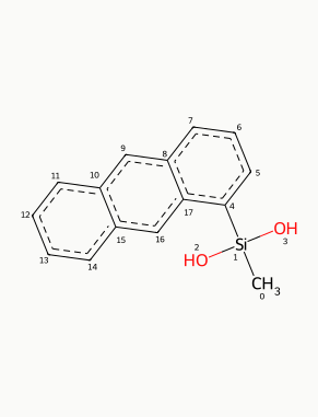 C[Si](O)(O)c1cccc2cc3ccccc3cc12